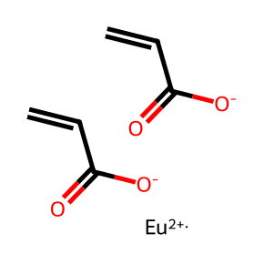 C=CC(=O)[O-].C=CC(=O)[O-].[Eu+2]